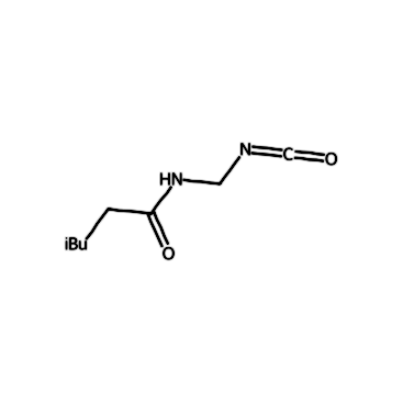 CCC(C)CC(=O)NCN=C=O